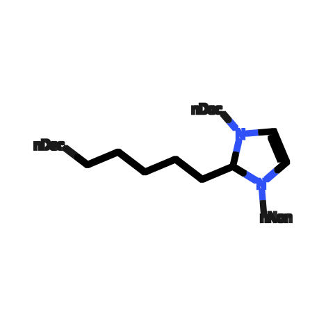 CCCCCCCCCCCCCCCC1N(CCCCCCCCC)C=CN1CCCCCCCCCC